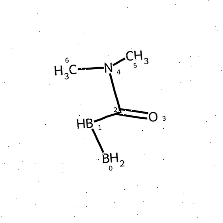 BBC(=O)N(C)C